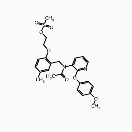 COc1ccc(Oc2ncccc2N(Cc2cc(C)ccc2OCCOS(C)(=O)=O)C(C)=O)cc1